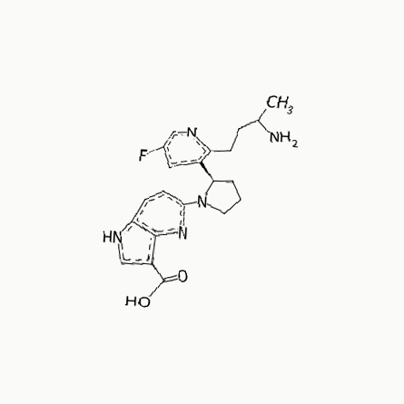 CC(N)CCc1ncc(F)cc1[C@H]1CCCN1c1ccc2[nH]cc(C(=O)O)c2n1